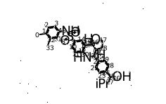 Cc1ccc(NS(=O)(=O)c2ccc3c(c2)[C@H]2OCC[C@H]2C(c2ccc(C(O)C(C)C)cc2)N3)cc1C